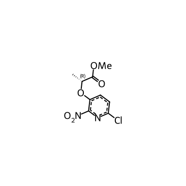 COC(=O)[C@@H](C)Oc1ccc(Cl)nc1[N+](=O)[O-]